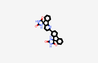 O=C1NC(=O)C2(N1)c1ccccc1-c1ccc(-c3ccc4c(n3)-c3ccccc3C43NC(=O)NC3=O)cc12